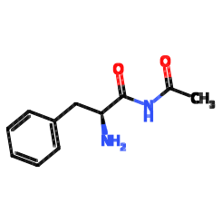 CC(=O)NC(=O)[C@@H](N)Cc1ccccc1